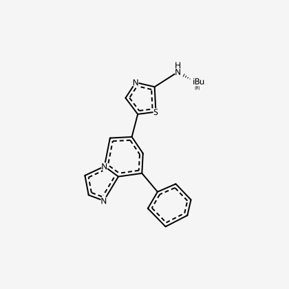 CC[C@@H](C)Nc1ncc(-c2cc(-c3ccccc3)c3nccn3c2)s1